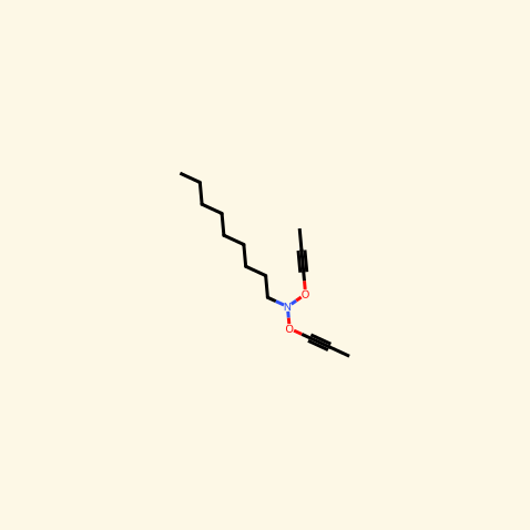 CC#CON(CCCCCCCCC)OC#CC